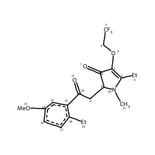 CCC1=C(OCC(F)(F)F)C(=O)C(CC(=O)c2cc(OC)ccc2CC)N1C